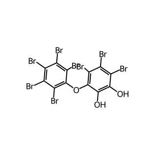 Oc1c(O)c(Oc2c(Br)c(Br)c(Br)c(Br)c2Br)c(Br)c(Br)c1Br